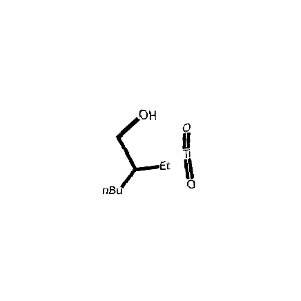 CCCCC(CC)CO.[O]=[Ti]=[O]